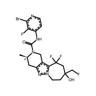 C[C@@H]1Cc2nn3c(c2CN1C(=O)Nc1ccnc(Br)c1F)C(F)(F)CC(O)(CF)CC3